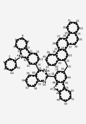 c1ccc(-n2c3ccccc3c3ccc(-c4nc(-c5cc(Cc6cc7c(ccc8c9ccccc9ccc87)c7ccccc67)cc6c5sc5ccccc56)nc5ccccc45)cc32)cc1